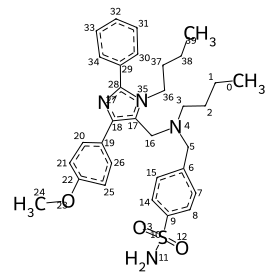 CCCCN(Cc1ccc(S(N)(=O)=O)cc1)Cc1c(-c2ccc(OC)cc2)nc(-c2ccccc2)n1CCCC